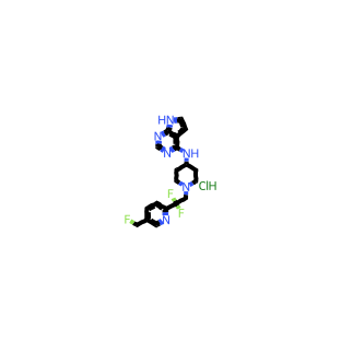 Cl.FCc1ccc(C(F)(F)CN2CCC(Nc3ncnc4[nH]ccc34)CC2)nc1